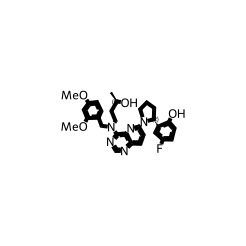 COc1ccc(CN(CC[C@@H](C)O)c2ncnc3ccc(N4CCC[C@@H]4c4cc(F)ccc4O)nc23)c(OC)c1